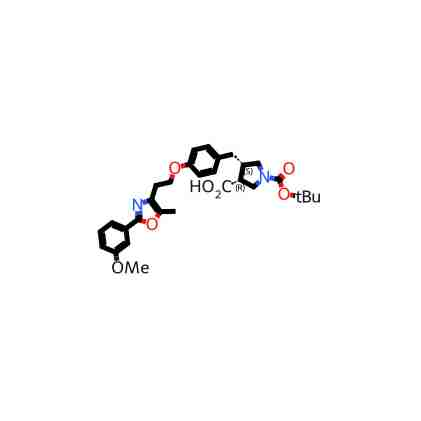 COc1cccc(-c2nc(CCOc3ccc(C[C@@H]4CN(C(=O)OC(C)(C)C)C[C@@H]4C(=O)O)cc3)c(C)o2)c1